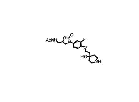 CC(=O)NCC1CN(c2ccc(OCCC3(O)CCNCC3)c(F)c2)C(=O)O1